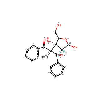 O=C(c1ccccc1)C(C(=O)c1ccccc1)([C@@]1(O)[C@@H](CO)OC(O)C1(F)F)S(=O)(=O)O